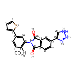 O=C(O)c1ccc(-c2cccs2)cc1N1C(=O)c2ccc(-c3c[nH]nn3)cc2C1=O